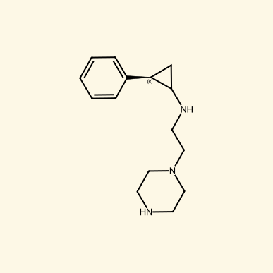 c1ccc([C@H]2CC2NCCN2CCNCC2)cc1